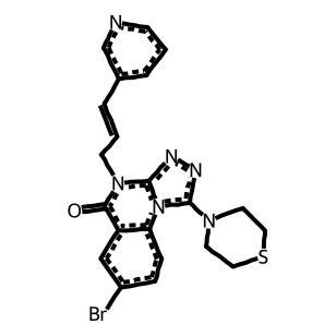 O=c1c2cc(Br)ccc2n2c(N3CCSCC3)nnc2n1C/C=C/c1cccnc1